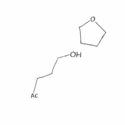 C1CCOC1.CC(=O)CCCO